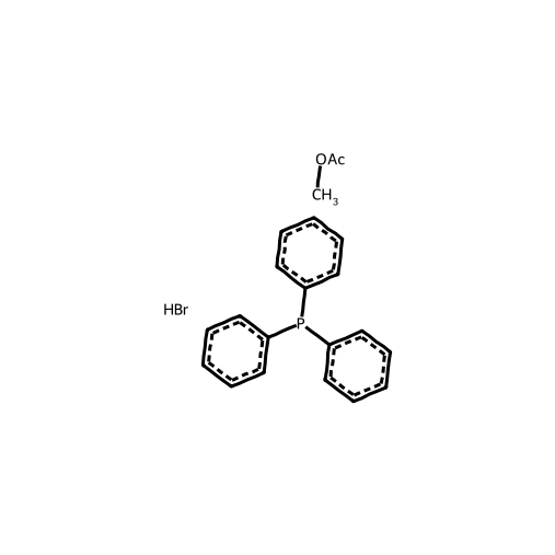 Br.COC(C)=O.c1ccc(P(c2ccccc2)c2ccccc2)cc1